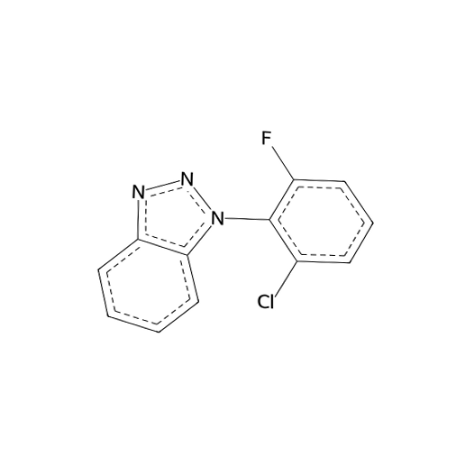 Fc1cccc(Cl)c1-n1nnc2ccccc21